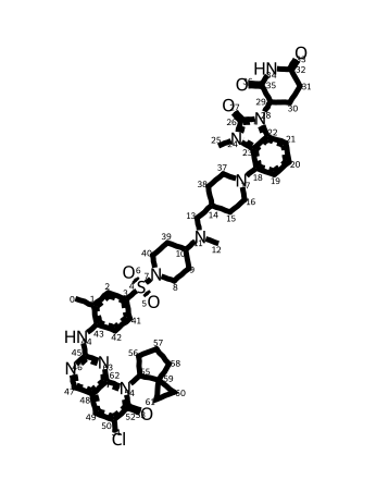 Cc1cc(S(=O)(=O)N2CCC(N(C)CC3CCN(c4cccc5c4n(C)c(=O)n5C4CCC(=O)NC4=O)CC3)CC2)ccc1Nc1ncc2cc(Cl)c(=O)n(C3CCCC34CC4)c2n1